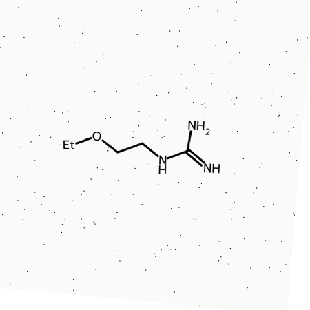 CCOCCNC(=N)N